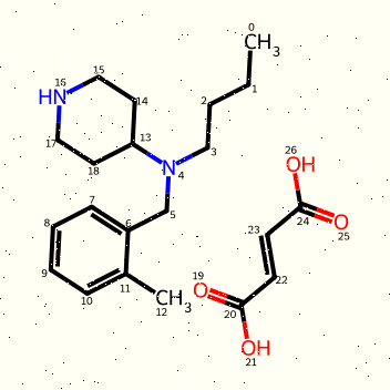 CCCCN(Cc1ccccc1C)C1CCNCC1.O=C(O)C=CC(=O)O